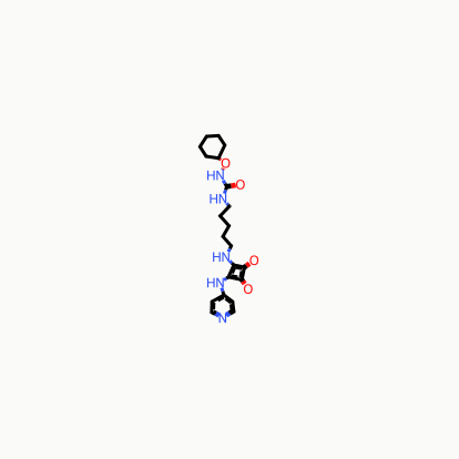 O=C(NCCCCCNc1c(Nc2ccncc2)c(=O)c1=O)NOC1CCCCC1